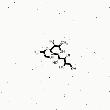 CC(CO)O[C@@H](OC[C@@H](O)[C@@H](O)C(O)CO)[C@@H](O)C(C)O